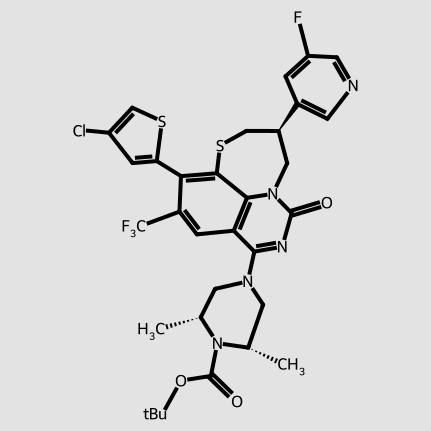 C[C@@H]1CN(c2nc(=O)n3c4c(c(-c5cc(Cl)cs5)c(C(F)(F)F)cc24)SC[C@@H](c2cncc(F)c2)C3)C[C@H](C)N1C(=O)OC(C)(C)C